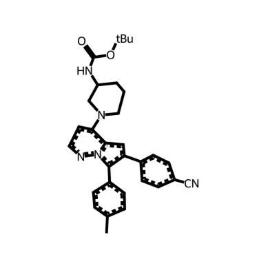 Cc1ccc(-c2c(-c3ccc(C#N)cc3)cc3c(N4CCCC(NC(=O)OC(C)(C)C)C4)ccnn23)cc1